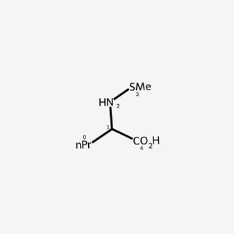 CCCC(NSC)C(=O)O